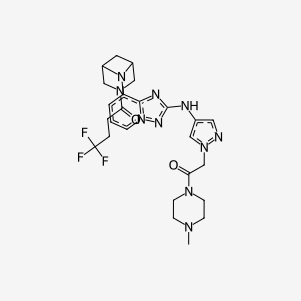 CN1CCN(C(=O)Cn2cc(Nc3nc4c(N5C6CC5CN(C(=O)CCC(F)(F)F)C6)cccn4n3)cn2)CC1